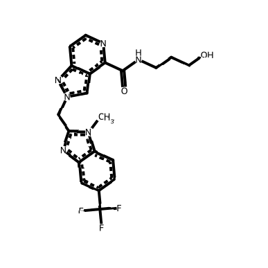 Cn1c(Cn2cc3c(C(=O)NCCCO)nccc3n2)nc2cc(C(F)(F)F)ccc21